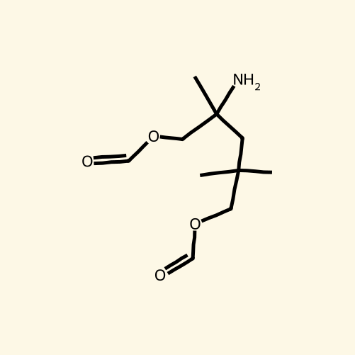 CC(C)(COC=O)CC(C)(N)COC=O